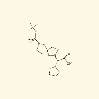 CC(C)(C)OC(=O)N1CC[C@@]2(CCN([C@H](C(=O)O)C3CCCC3)C2)C1